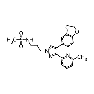 Cc1cccc(-c2nn(CCCNS(C)(=O)=O)cc2-c2ccc3c(c2)OCO3)n1